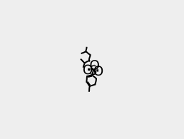 CC1=CC=C(S(=O)(=O)OC(CC(C)C)C(C)C)CC1